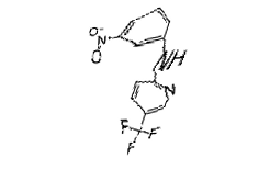 O=[N+]([O-])c1cccc(Nc2ccc(C(F)(F)F)cn2)c1